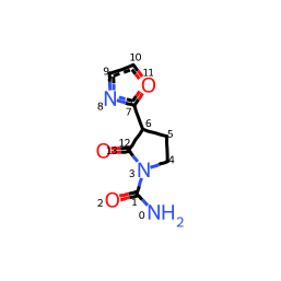 NC(=O)N1CCC(c2ncco2)C1=O